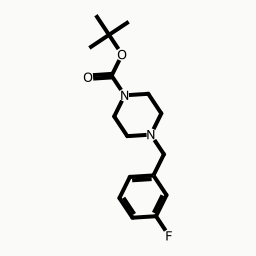 CC(C)(C)OC(=O)N1CCN(Cc2cccc(F)c2)CC1